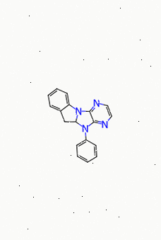 c1ccc(N2c3nccnc3N3c4ccccc4CC23)cc1